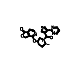 C[C@@H]1CC[C@@H](Oc2nccc3c2COC3=O)CN1C(=O)c1cscc1-c1ncccn1